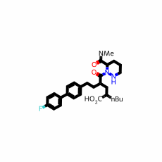 CCCCC(CC(CCc1ccc(-c2ccc(F)cc2)cc1)C(=O)N1NCCCC1C(=O)NC)C(=O)O